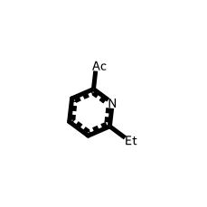 [CH2]Cc1cccc(C(C)=O)n1